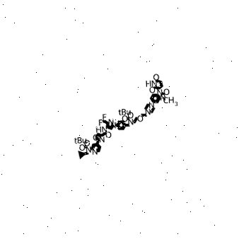 Cn1c(=O)n(C2CCC(=O)NC2=O)c2ccc(N3CCN(CCOCCN(Cc4ccc(-n5cc(NC(=O)c6coc(-c7ccnc(N(CC8CC8)C(=O)OC(C)(C)C)c7)n6)c(C(F)F)n5)cc4)C(=O)OC(C)(C)C)CC3)cc21